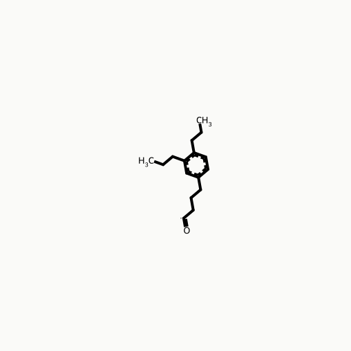 CCCc1ccc(CCC[C]=O)cc1CCC